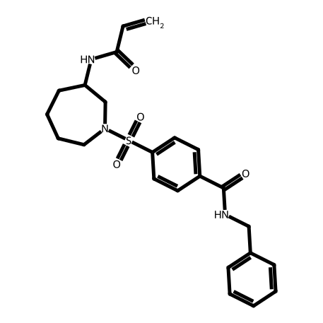 C=CC(=O)NC1CCCCN(S(=O)(=O)c2ccc(C(=O)NCc3ccccc3)cc2)C1